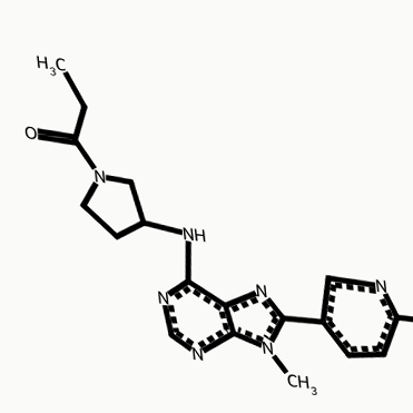 CCC(=O)N1CCC(Nc2ncnc3c2nc(-c2ccc(Cl)nc2)n3C)C1